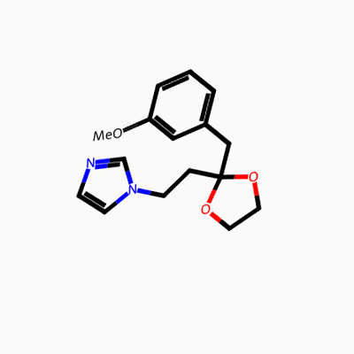 COc1cccc(CC2(CCn3ccnc3)OCCO2)c1